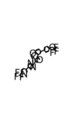 O=C1c2cc(-c3ccc(OC(F)(F)F)cc3)ccc2OCCN1Cc1ncc(-c2ccc(C(F)(F)F)nc2)cn1